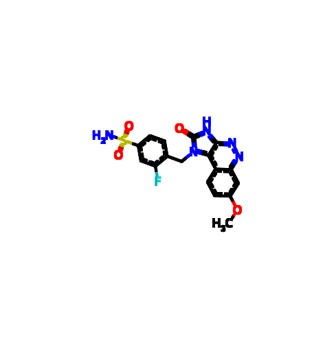 COc1ccc2c(c1)nnc1[nH]c(=O)n(Cc3ccc(S(N)(=O)=O)cc3F)c12